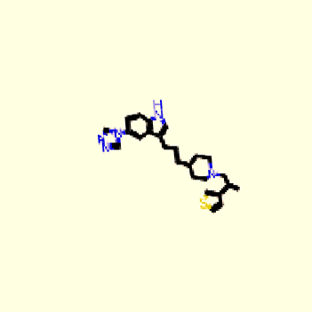 CC(CN1CCC(CCCc2c[nH]c3ccc(-n4cnnc4)cc23)CC1)c1ccsc1